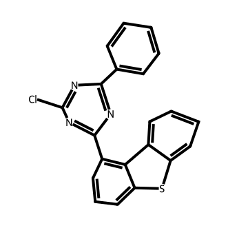 Clc1nc(-c2ccccc2)nc(-c2cccc3sc4ccccc4c23)n1